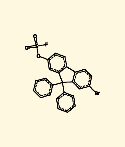 O=S(=O)(F)Oc1ccc2c(c1)C(c1ccccc1)(c1ccccc1)c1cc(Br)ccc1-2